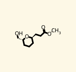 COC(=O)CC[C@H]1CCC[C@H](CO)O1